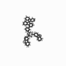 c1ccc(C2(c3ccccc3)c3ccccc3-c3c(-c4cccc(-c5nc(-c6ccc7oc8ccccc8c7c6)nc(-c6ccc7oc8ccccc8c7c6)n5)c4)cccc32)cc1